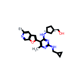 CCc1cc2cc(-c3c(C)nc(NCC4CC4)nc3N[C@H]3CC[C@@H](CO)C3)oc2cn1